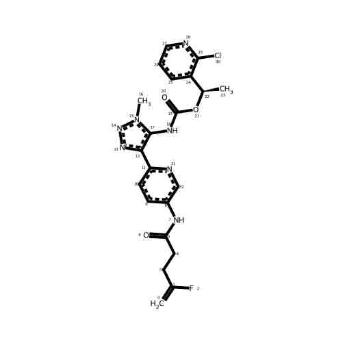 C=C(F)CCC(=O)Nc1ccc(-c2nnn(C)c2NC(=O)O[C@H](C)c2cccnc2Cl)nc1